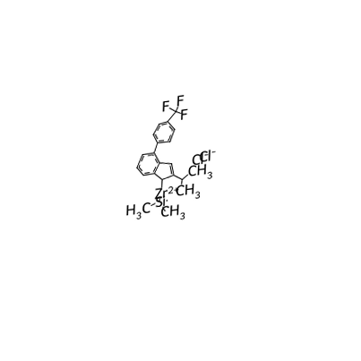 CC(C)C1=Cc2c(-c3ccc(C(F)(F)F)cc3)cccc2[CH]1[Zr+2][Si](C)C.[Cl-].[Cl-]